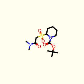 CN(C)C(=O)CS(=O)(=O)C1CCCCN1C(=O)OC(C)(C)C